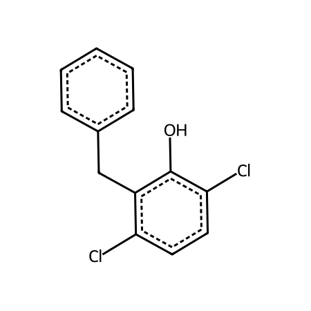 Oc1c(Cl)ccc(Cl)c1Cc1ccccc1